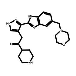 O=C(Cc1c[nH]nc1-c1nc2cc(CN3CCOCC3)ccc2[nH]1)C1CCNCC1